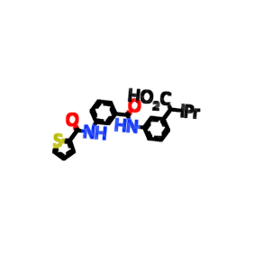 CC(C)C(C(=O)O)c1cccc(NC(=O)c2cccc(NC(=O)c3cccs3)c2)c1